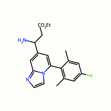 CCOC(=O)CC(N)c1cc(-c2c(C)cc(F)cc2C)n2ccnc2c1